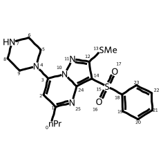 CCCc1cc(N2CCNCC2)n2nc(SC)c(S(=O)(=O)c3ccccc3)c2n1